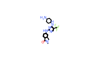 CN1Cc2cc(Nc3ncc(C(F)(F)F)c(N[C@H]4CC[C@@H](N)CC4)n3)ccc2C1=O